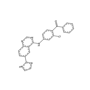 O=C(c1ccccc1)c1ccc(Nc2ncnc3ccc(-c4ncc[nH]4)cc23)cc1Cl